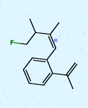 C=C(C)c1ccccc1/C=C(/C)C(C)CF